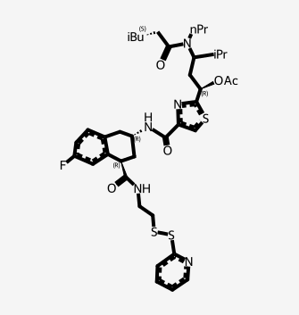 CCCN(C(=O)C[C@@H](C)CC)C(C[C@@H](OC(C)=O)c1nc(C(=O)N[C@H]2Cc3ccc(F)cc3[C@H](C(=O)NCCSSc3ccccn3)C2)cs1)C(C)C